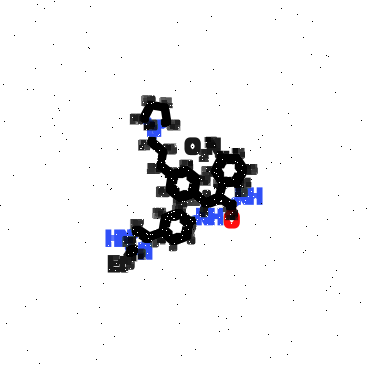 CCc1nc(-c2ccc(N/C(=C3\C(=O)Nc4ccc([N+](=O)[O-])cc43)c3ccc(CCCN4CCCC4)cc3)cc2)c[nH]1